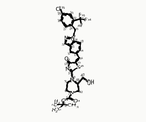 CC(C)(C)OC(=O)N1CCN(C2=NC(=O)C(=Cc3ccc4c(cnn4Cc4ccc(Cl)cc4C(F)(F)F)c3)S2)C(CO)C1